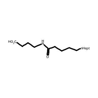 CCCCCCCCCCCC(=O)NCCCC(=O)O